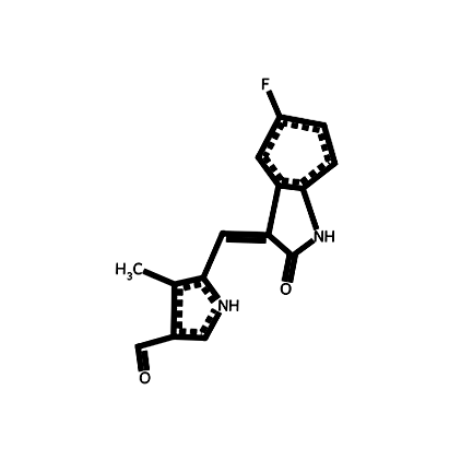 Cc1c(C=O)c[nH]c1/C=C1\C(=O)Nc2ccc(F)cc21